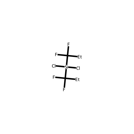 CCC(F)(F)[Si](Cl)(Cl)C(F)(F)CC